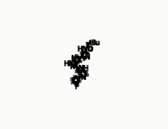 CC(C)(C)CC(=O)Nc1cncc(-c2cnc3[nH]nc(-c4cc5c(-c6cccc(F)c6)nccc5[nH]4)c3c2)c1